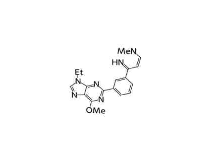 CCn1cnc2c(OC)nc(-c3cccc(C(=N)/C=C\NC)c3)nc21